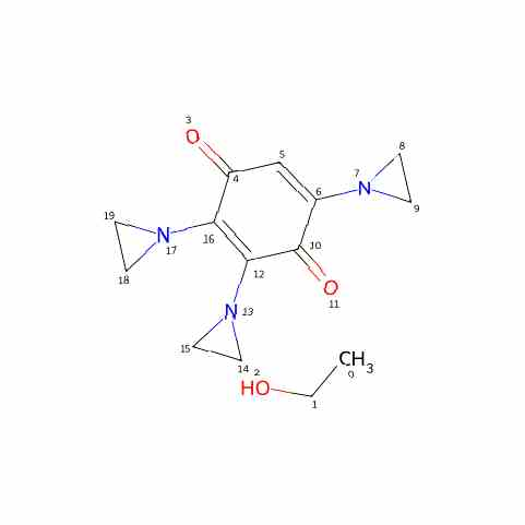 CCO.O=C1C=C(N2CC2)C(=O)C(N2CC2)=C1N1CC1